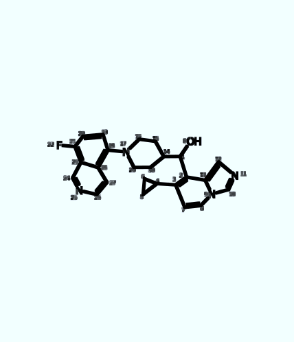 OC(c1c(C2CC2)ccn2cncc12)C1CCN(c2ccc(F)c3cnccc23)CC1